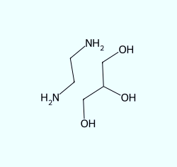 NCCN.OCC(O)CO